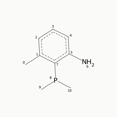 Cc1cccc(N)c1P(C)C